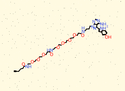 C#CCCCC(=O)NCCOCCOCCOCCC(=O)NCCOCCOCCOCCOCCC(=O)NCCCCn1nc(-c2cc3cc(O)ccc3[nH]2)c2c(N)ncnc21